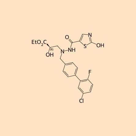 CCOC(=O)[C@H](O)CN(Cc1ccc(-c2cc(Cl)ccc2F)cc1)NC(=O)c1cnc(O)s1